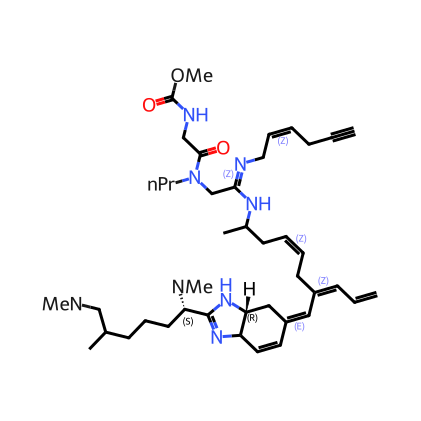 C#CC/C=C\C/N=C(/CN(CCC)C(=O)CNC(=O)OC)NC(C)C/C=C\CC(=C/C=C)/C=C1/C=CC2N=C([C@H](CCCC(C)CNC)NC)N[C@@H]2C1